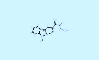 CC(CO)C(=O)c1ccc2c(c1)c1ccccc1n2C